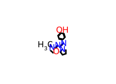 CN1CCOC1=NC(=Nc1ccc(O)cc1)N1CCCC1